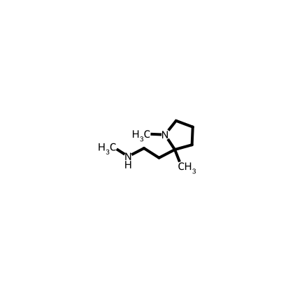 CNCCC1(C)CCCN1C